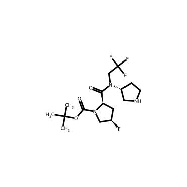 CC(C)(C)OC(=O)N1C[C@H](F)C[C@@H]1C(=O)N(CC(F)(F)F)[C@@H]1CCNC1